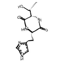 C[C@@H](O)[C@@H]1NC(=O)[C@H](Cc2c[nH]cn2)NC1=O